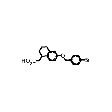 O=C(O)CC1CCCc2cc(OCc3ccc(Br)cc3)ccc21